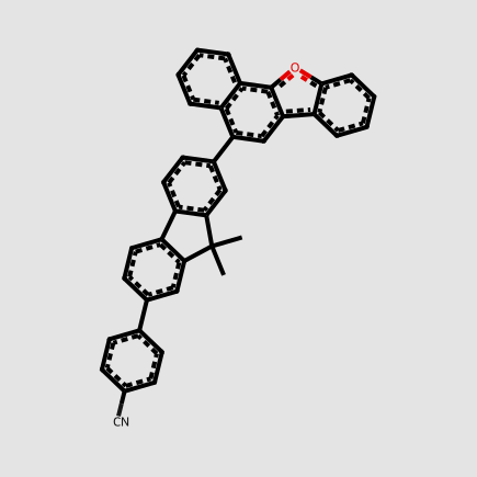 CC1(C)c2cc(-c3ccc(C#N)cc3)ccc2-c2ccc(-c3cc4c5ccccc5oc4c4ccccc34)cc21